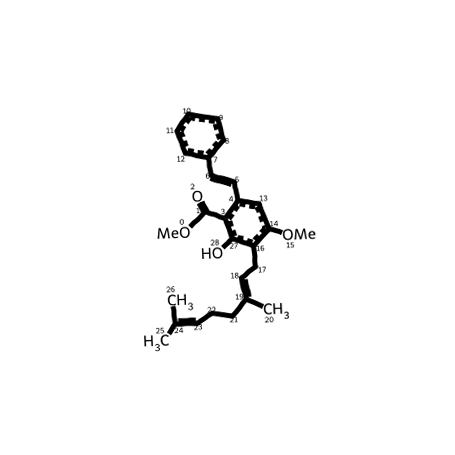 COC(=O)c1c(/C=C/c2ccccc2)cc(OC)c(C/C=C(\C)CCC=C(C)C)c1O